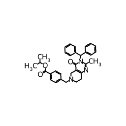 Cc1nc2c(c(=O)n1C(c1ccccc1)c1ccccc1)CN(Cc1ccc(C(=O)OC(C)C)cc1)CC2